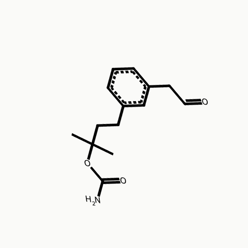 CC(C)(CCc1cccc(CC=O)c1)OC(N)=O